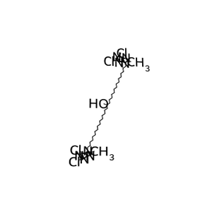 Cc1nc2c(Cl)nc(Cl)nc2n1CCCCCCCCCCCCCCCC(O)CCCCCCCCCCCCCCCCn1c(C)nc2nc(Cl)nc(Cl)c21